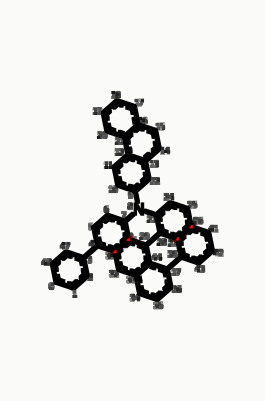 c1ccc(-c2ccc(N(c3ccc4c(ccc5ccccc54)c3)c3ccccc3-c3cccc4cccc(-c5ccccc5)c34)cc2)cc1